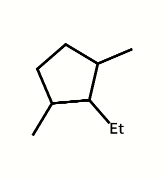 CCC1C(C)CCC1C